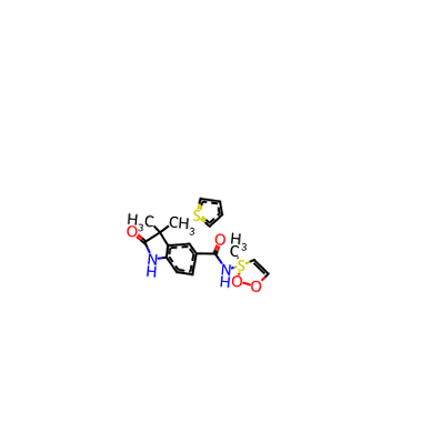 CC1(C)C(=O)Nc2ccc(C(=O)NS3(C)C=COO3)cc21.c1ccsc1